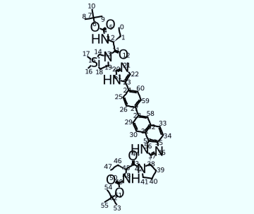 CC[C@H](NC(=O)OC(C)(C)C)C(=O)N1C[Si](C)(C)C[C@H]1c1ncc(-c2ccc(-c3ccc4c(ccc5nc([C@@H]6CCCN6C(=O)[C@H](CC)NC(=O)OC(C)(C)C)[nH]c54)c3)cc2)[nH]1